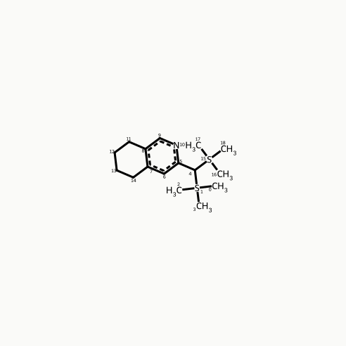 CS(C)(C)C(c1cc2c(cn1)CCCC2)S(C)(C)C